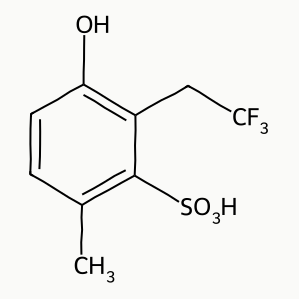 Cc1ccc(O)c(CC(F)(F)F)c1S(=O)(=O)O